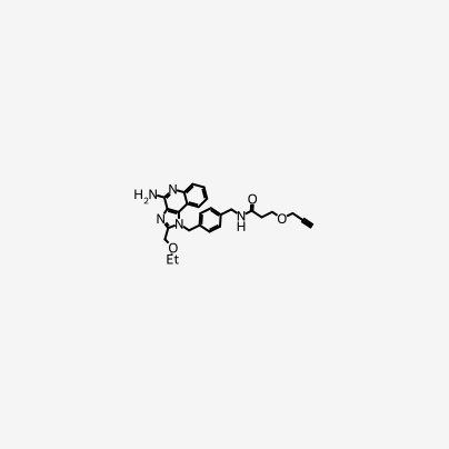 C#CCOCCC(=O)NCc1ccc(Cn2c(COCC)nc3c(N)nc4ccccc4c32)cc1